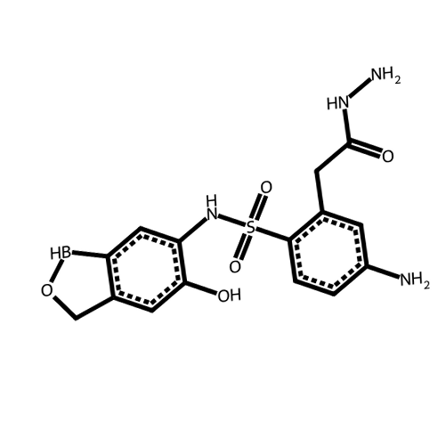 NNC(=O)Cc1cc(N)ccc1S(=O)(=O)Nc1cc2c(cc1O)COB2